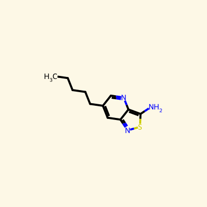 CCCCCc1cnc2c(N)snc2c1